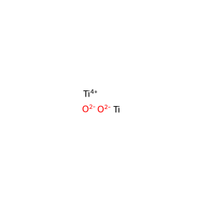 [O-2].[O-2].[Ti+4].[Ti]